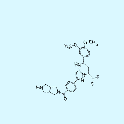 COc1ccc(C2CC(C(F)F)n3nc(-c4ccc(C(=O)N5CC6CNCC6C5)cc4)cc3N2)cc1OC